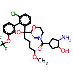 COCCCC[C@](O)(c1cccc(Cl)c1-c1cccc(OC(F)(F)F)c1)[C@H]1CN(C(=O)[C@H]2C[C@@H](N)[C@@H](O)C2)CCO1